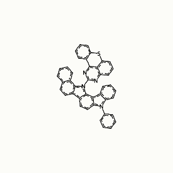 c1ccc(-n2c3ccccc3c3c2ccc2c4ccc5ccccc5c4n(-c4nc5c6c(cccc6n4)Sc4ccccc4-5)c23)cc1